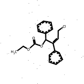 CCOC(=O)OC(C(=CCCl)c1ccccc1)c1ccccc1